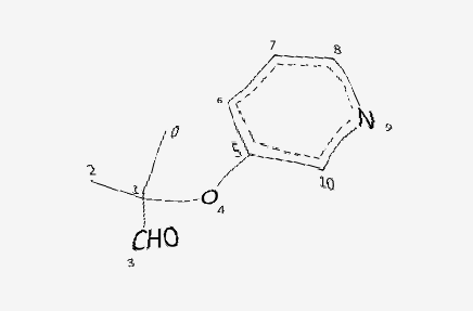 CC(C)(C=O)Oc1cccnc1